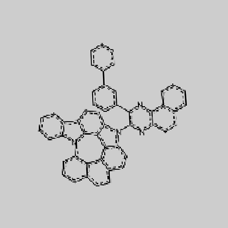 c1ccc(-c2cccc(-c3nc4c(ccc5ccccc54)nc3-n3c4ccc5ccc6cccc7c6c5c4c4c3ccc3c5ccccc5n7c34)c2)cc1